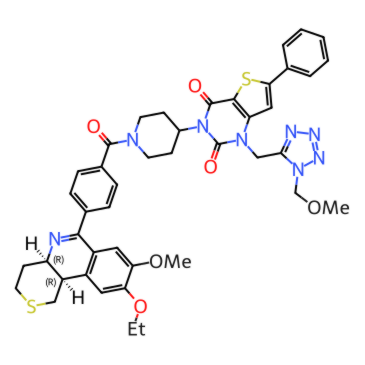 CCOc1cc2c(cc1OC)C(c1ccc(C(=O)N3CCC(n4c(=O)c5sc(-c6ccccc6)cc5n(Cc5nnnn5COC)c4=O)CC3)cc1)=N[C@@H]1CCSC[C@H]21